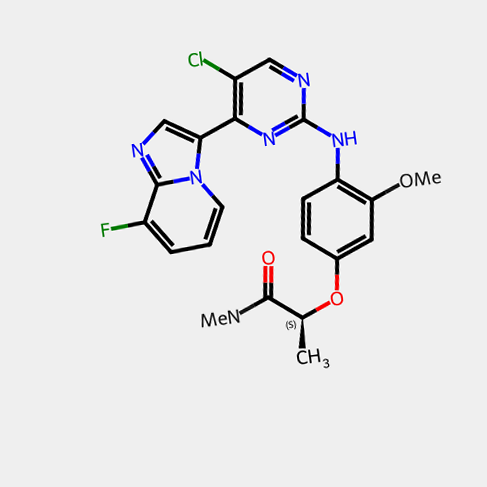 CNC(=O)[C@H](C)Oc1ccc(Nc2ncc(Cl)c(-c3cnc4c(F)cccn34)n2)c(OC)c1